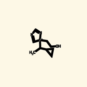 CC(C1CC1)[N+]1(CCO)C=NC=N1